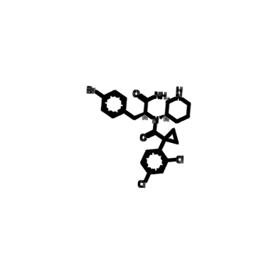 NC(=O)[C@H](Cc1ccc(Br)cc1)N(C(=O)C1(c2ccc(Cl)cc2Cl)CC1)[C@H]1CCCNC1